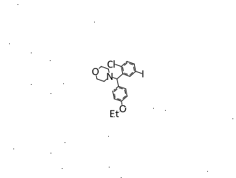 CCOc1ccc(C(c2cc(I)ccc2Cl)N2CCOCC2)cc1